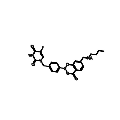 CCCCNCc1ccc2c(c1)OB(c1ccc(Cn3cc(F)c(=O)[nH]c3=O)cc1)OC2=O